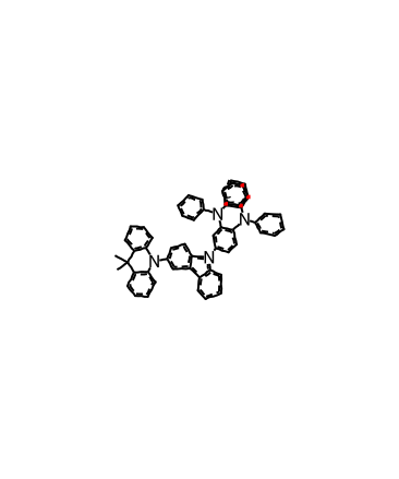 CC1(C)c2ccccc2N(c2ccc3c(c2)c2ccccc2n3-c2ccc(N(c3ccccc3)c3ccccc3)c(N(c3ccccc3)c3ccccc3)c2)c2ccccc21